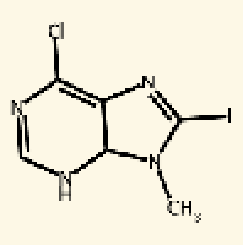 CN1C(I)=NC2=C(Cl)N=CNC21